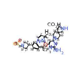 Cc1ccn(-c2cc(C3CCN(C[SH](=O)=O)CC3)ccc2[C@@H](Oc2cc(N3CCC4(CC3)CN[C@H](C(=O)O)C4)nc(N)n2)C(F)(F)F)n1